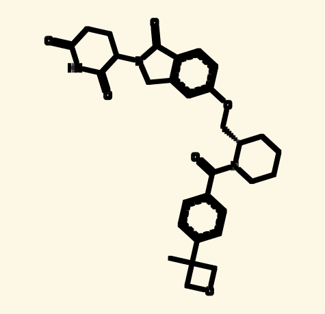 CC1(c2ccc(C(=O)N3CCCC[C@H]3COc3ccc4c(c3)CN(C3CCC(=O)NC3=O)C4=O)cc2)COC1